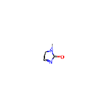 CN1CC=NC1=O